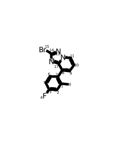 Cc1cc(F)ccc1-c1cccn2nc(Br)nc12